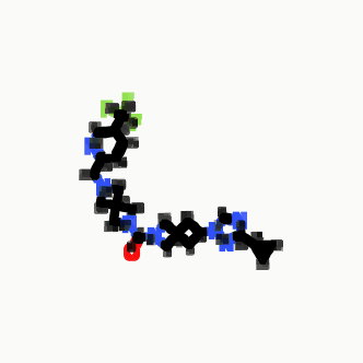 O=C(N1CC2(CC(n3cnc(C4CC4)n3)C2)C1)N1CC2(CN(Cc3ccc(C(F)(F)F)cn3)C2)C1